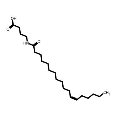 CCCCC/C=C\CCCCCCCCCCC(=O)NCCCC(=O)O